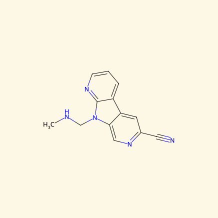 CNCn1c2cnc(C#N)cc2c2cccnc21